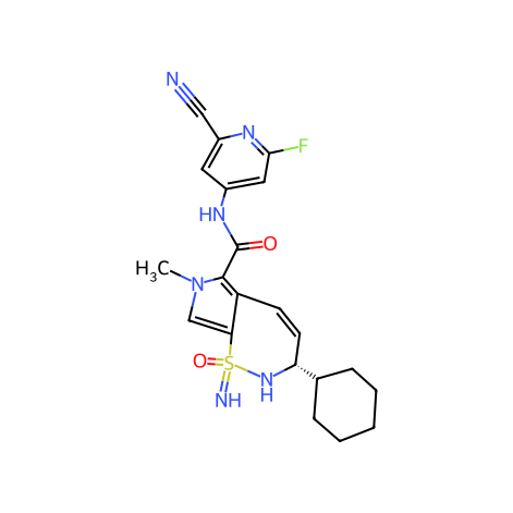 Cn1cc2c(c1C(=O)Nc1cc(F)nc(C#N)c1)C=C[C@H](C1CCCCC1)NS2(=N)=O